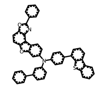 c1ccc(-c2cccc(N(c3ccc(-c4cccc5c4sc4ccccc45)cc3)c3ccc4c(c3)oc3ccc5oc(-c6ccccc6)nc5c34)c2)cc1